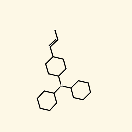 CC=CC1CCC(N(C2CCCCC2)C2CCCCC2)CC1